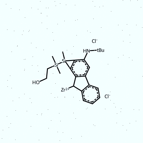 CC(C)(C)Nc1cc2c(c3c1[Si]3(C)[Si](C)(C)CCO)[CH]([Zr+2])c1ccccc1-2.[Cl-].[Cl-]